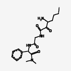 CCCCC(N)C(=O)C(=O)NCC(=O)NC(C(=O)N(C)C)c1ccccc1